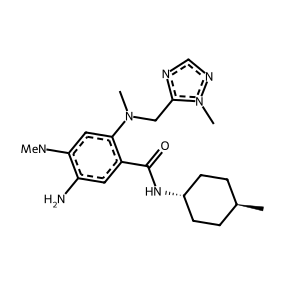 CNc1cc(N(C)Cc2ncnn2C)c(C(=O)N[C@H]2CC[C@H](C)CC2)cc1N